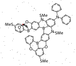 CSc1cc2c3c(c1)Oc1cc4c(cc1B3c1ccccc1O2)B1c2cc3c(cc2N(SC)c2cc(N(c5ccccc5)c5ccccc5)cc(c21)N4SC)Oc1cc(SC)cc2c1B3c1ccccc1O2